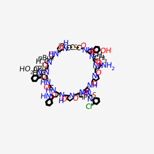 CCCC[C@H]1C(=O)N(C)[C@@H](CCCC)C(=O)N[C@@H](CC(C)C)C(=O)NCCSCC(=O)N[C@@H](Cc2ccc(O)cc2)C(=O)N(C)[C@@H](C)C(=O)N[C@@H](CC(N)=O)C(=O)N2CCCC2C(=O)N[C@@H](CNc2nc3c(Cl)cccc3s2)C(=O)N[C@@H](CC(C)C)C(=O)N2CCCC2C(=O)N[C@@H](Cc2c[nH]c3ccccc23)C(=O)NCC(=O)N[C@@H](Cc2cn(CC(=O)O)c3ccccc23)C(=O)N1C